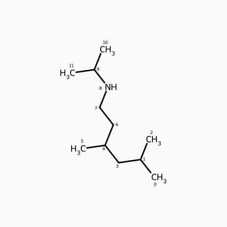 CC(C)CC(C)CCNC(C)C